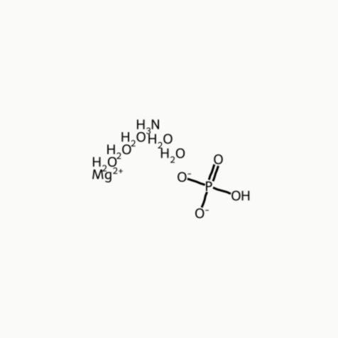 N.O.O.O.O.O.O=P([O-])([O-])O.[Mg+2]